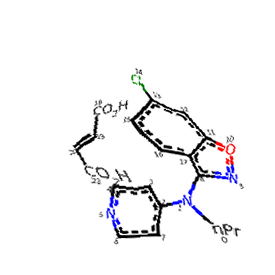 CCCN(c1ccncc1)c1noc2cc(Cl)ccc12.O=C(O)C=CC(=O)O